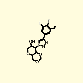 OC1COC2COCOC2C1n1cc(-c2cc(F)c(F)c(F)c2)nn1